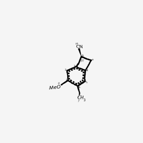 COc1cc2c(cc1C)C[C@@H]2C#N